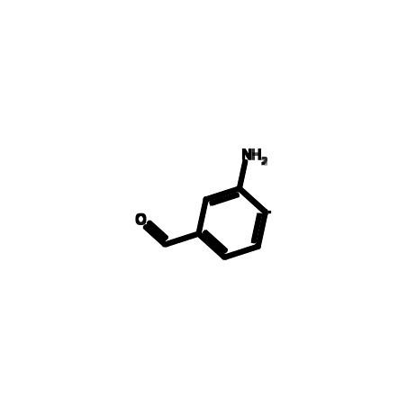 Nc1[c]ccc(C=O)c1